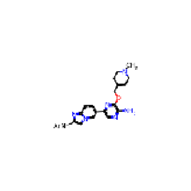 CC(=O)Nc1cn2cc(-c3cnc(N)c(OCC4CCN(C)CC4)n3)ccc2n1